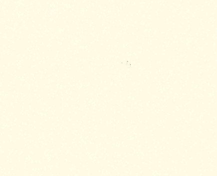 C=CCCOCC#N